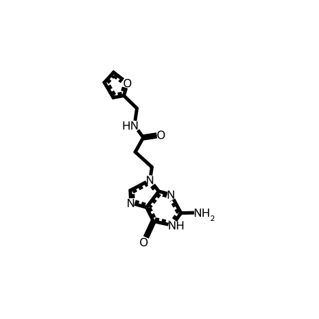 Nc1nc2c(ncn2CCC(=O)NCc2ccco2)c(=O)[nH]1